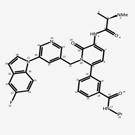 CN[C@H](C)C(=O)Nc1ccc(-c2cccc(C(=O)NC(C)C)c2)n(Cc2cncc(-n3ccc4cc(F)ccc43)c2)c1=O